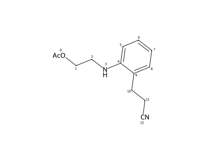 CC(=O)OCCNc1ccccc1CCC#N